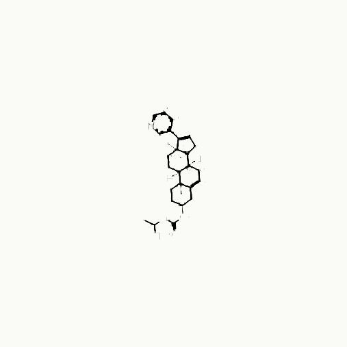 CC(Cl)OC(=O)O[C@H]1CC[C@@]2(C)C(=CC[C@@H]3[C@@H]2CC[C@]2(C)C(c4cccnc4)=CC[C@@H]32)C1